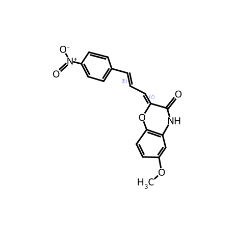 COc1ccc2c(c1)NC(=O)/C(=C/C=C/c1ccc([N+](=O)[O-])cc1)O2